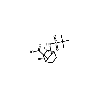 CC(C)(C)S(=O)(=O)N[C@H]1C2CCC(CC2)[C@@H]1C(=O)O